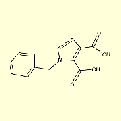 O=C(O)c1ccn(Cc2ccccc2)c1C(=O)O